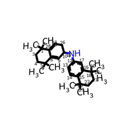 CC1(C)CCC(C)(C)C2=CC(Nc3ccc4c(c3)C(C)(C)CCC4(C)C)CC=C21